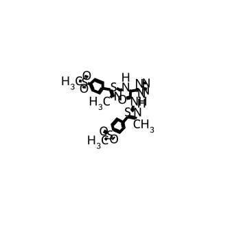 Cc1nc(NC(=O)C(Nc2nc(C)c(-c3ccc(S(C)(=O)=O)cc3)s2)c2nnn[nH]2)sc1-c1ccc(S(C)(=O)=O)cc1